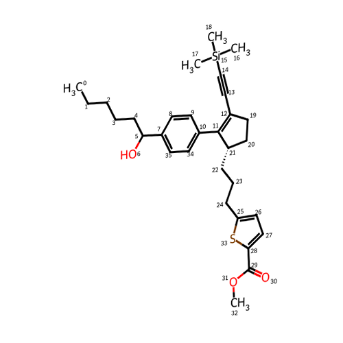 CCCCCC(O)c1ccc(C2=C(C#C[Si](C)(C)C)CC[C@@H]2CCCc2ccc(C(=O)OC)s2)cc1